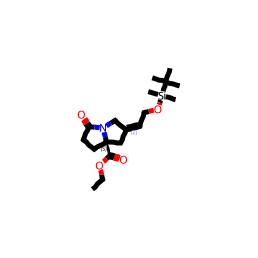 CCOC(=O)[C@@]12CCC(=O)N1C/C(=C\CO[Si](C)(C)C(C)(C)C)C2